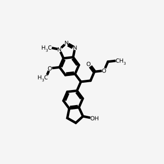 CCOC(=O)CC(c1ccc2c(c1)C(O)CC2)c1cc(OC)c2c(c1)nnn2C